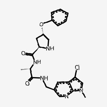 C[C@H](NC(=O)[C@H]1C[C@H](Oc2ccccc2)CN1)C(=O)NCc1cnc2c(c1)c(Cl)cn2C